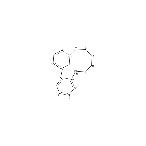 c1cc2c3c(c1)c1ccncc1n3CCCCC2